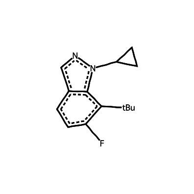 CC(C)(C)c1c(F)ccc2cnn(C3CC3)c12